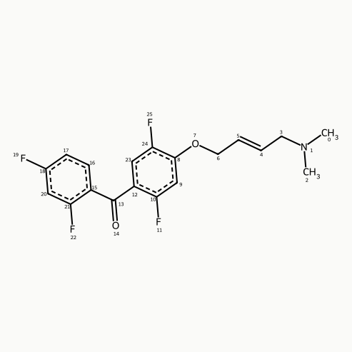 CN(C)C/C=C/COc1cc(F)c(C(=O)c2ccc(F)cc2F)cc1F